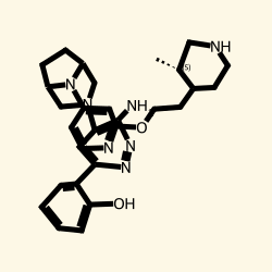 C[C@@H]1CNCCC1CCOc1cc(N2C3CCC2CN(c2cc(-c4ccccc4O)nnc2N)C3)ccn1